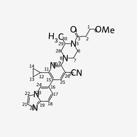 COCCC(=O)N1CCN(c2nc(C3CC3)c(-c3ccc4nccn4c3)cc2C#N)CC1C